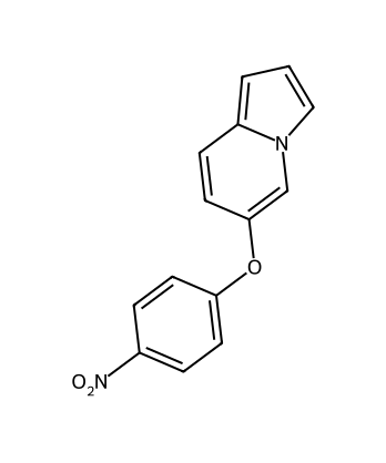 O=[N+]([O-])c1ccc(Oc2ccc3cccn3c2)cc1